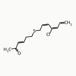 C=C/C=C(Cl)\C=C/CSCC/C=C/C(C)=O